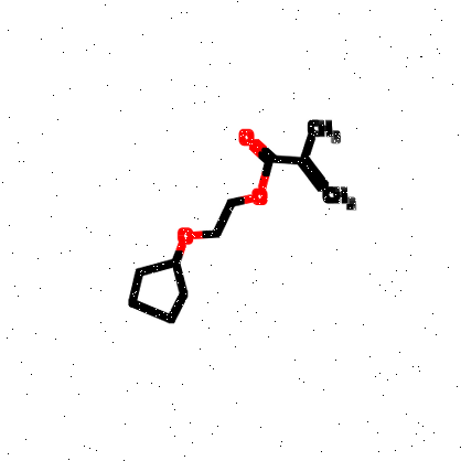 C=C(C)C(=O)OCCOC1CCCC1